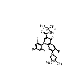 C[C@@H](NC(=O)c1cn(-c2c(F)cc(F)cc2F)c2nc(N3C[C@@H](O)[C@H](O)C3)c(F)cc2c1=O)C(F)(F)F